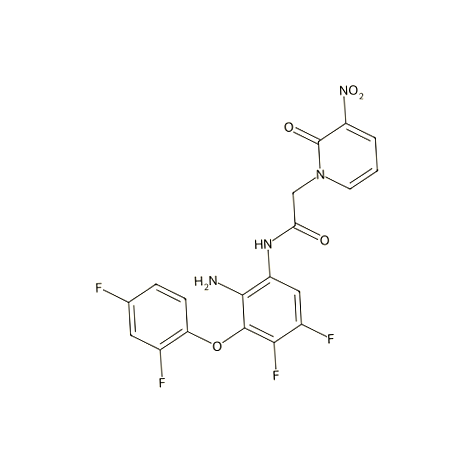 Nc1c(NC(=O)Cn2cccc([N+](=O)[O-])c2=O)cc(F)c(F)c1Oc1ccc(F)cc1F